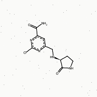 NC(=O)c1cc(CN[C@H]2CCNC2=O)nc(Cl)n1